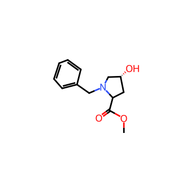 COC(=O)C1C[C@@H](O)CN1Cc1ccccc1